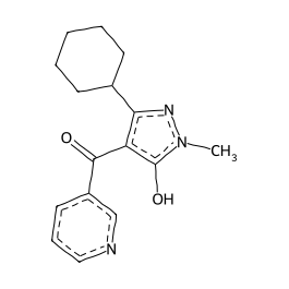 Cn1nc(C2CCCCC2)c(C(=O)c2cccnc2)c1O